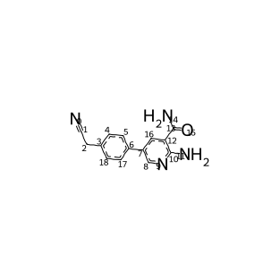 N#CCc1ccc(-c2cnc(N)c(C(N)=O)c2)cc1